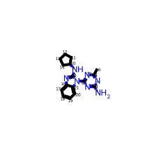 Cc1nc(N)nc(-n2c(NC3CCCC3)nc3ccccc32)n1